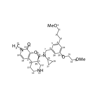 COCCCc1cc(CN(C(=O)[C@H]2CNCCC2c2ccn(C)c(=O)c2)C2CC2)cc(OCCOC)c1